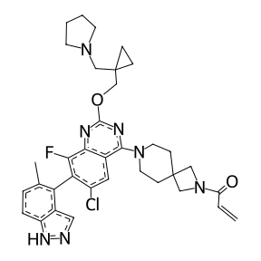 C=CC(=O)N1CC2(CCN(c3nc(OCC4(CN5CCCC5)CC4)nc4c(F)c(-c5c(C)ccc6[nH]ncc56)c(Cl)cc34)CC2)C1